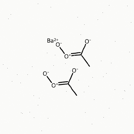 CC([O-])=[O+][O-].CC([O-])=[O+][O-].[Ba+2]